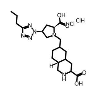 CCCc1nnn([C@H]2C[C@@H](C(=O)O)N(CC3CC[C@H]4CNC(C(=O)O)CC4C3)C2)n1.Cl.Cl